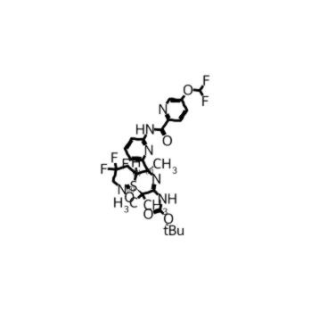 CC(C)(C)OC(=O)NC1=N[C@](C)(c2nc(NC(=O)c3ccc(OC(F)F)cn3)ccc2F)[C@H]2CC(F)(F)CN=[S@]2(=O)C1(C)C